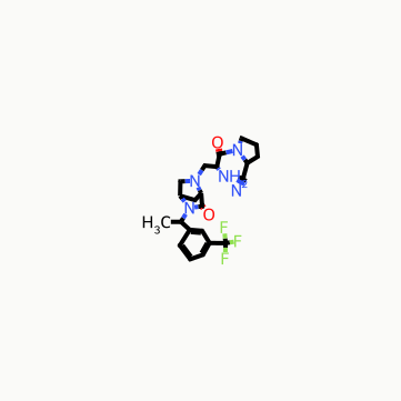 CC(c1cccc(C(F)(F)F)c1)N1C(=O)C2CC1CN2CC(N)C(=O)N1CCCC1C#N